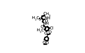 CSc1cc(C)[nH]c(=O)c1CNC(=O)c1cc(Cl)c2c(c1C)O[C@H](C1CCC3(CC1)OCCO3)CO2